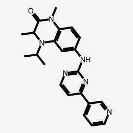 CC(C)N1c2cc(Nc3nccc(-c4cccnc4)n3)ccc2N(C)C(=O)C1C